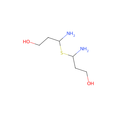 NC(CCO)SC(N)CCO